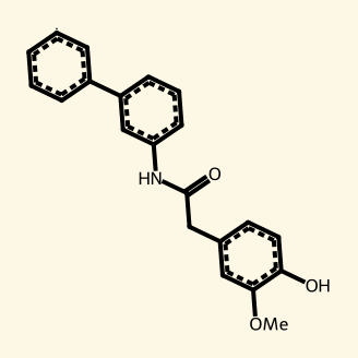 COc1cc(CC(=O)Nc2cccc(-c3c[c]ccc3)c2)ccc1O